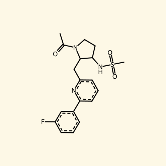 CC(=O)N1CCC(NS(C)(=O)=O)C1Cc1cccc(-c2cccc(F)c2)n1